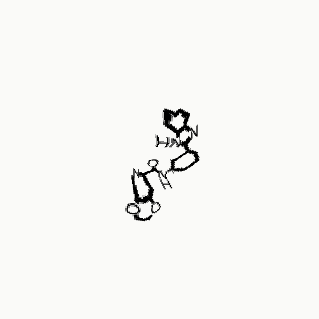 O=C(N[C@@H]1CCCC(c2nc3ccccc3[nH]2)C1)c1cc2c(cn1)OCCO2